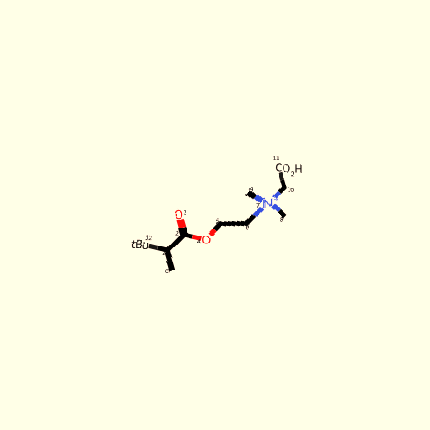 CC(C(=O)OCC[N+](C)(C)CC(=O)O)C(C)(C)C